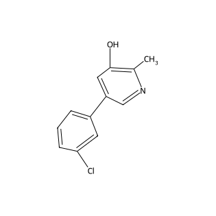 Cc1ncc(-c2cccc(Cl)c2)cc1O